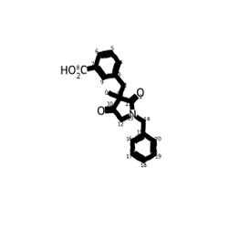 CC1(Cc2cccc(C(=O)O)c2)C(=O)CN(Cc2ccccc2)C1=O